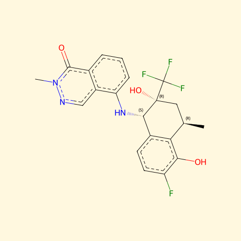 C[C@@H]1C[C@](O)(C(F)(F)F)[C@@H](Nc2cccc3c(=O)n(C)ncc23)c2ccc(F)c(O)c21